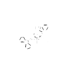 C[C@@](Cc1c[nH]c2cc(Cl)ccc12)(NC(=O)OCC1c2ccccc2-c2ccccc21)C(=O)O